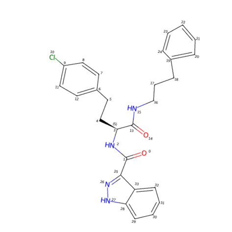 O=C(N[C@@H](CCc1ccc(Cl)cc1)C(=O)NCCCc1ccccc1)c1n[nH]c2ccccc12